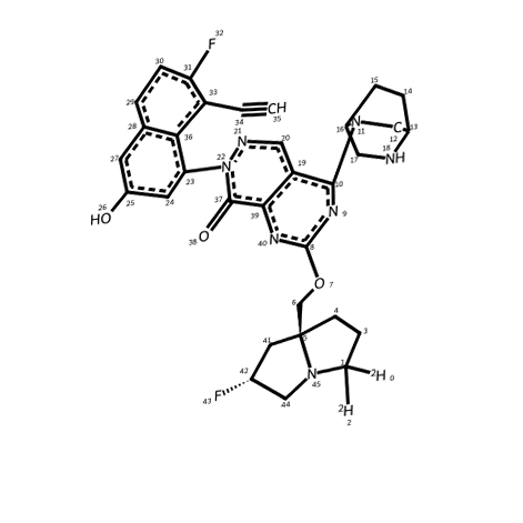 [2H]C1([2H])CC[C@@]2(COc3nc(N4CC5CCC4CN5)c4cnn(-c5cc(O)cc6ccc(F)c(C#C)c56)c(=O)c4n3)C[C@@H](F)CN12